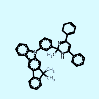 CC1(c2cccc(-n3c4ccccc4c4cc5c(cc43)C(C)(C)c3ccccc3-5)c2)N=C(C2=CC=CCC2)C=C(c2ccccc2)N1